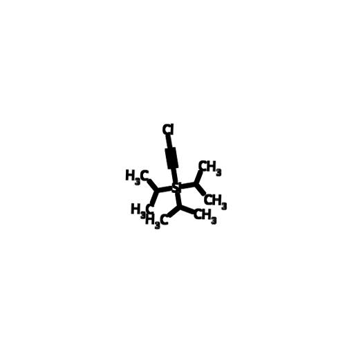 CC(C)[Si](C#CCl)(C(C)C)C(C)C